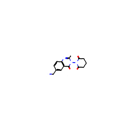 Cc1nc2ccc(CN)cc2c(=O)n1N1C(=O)CCCC1=O.Cl